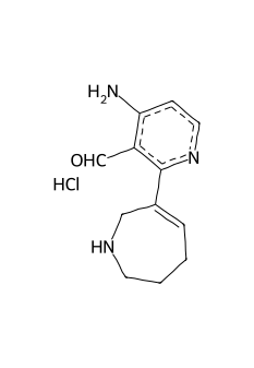 Cl.Nc1ccnc(C2=CCCCNC2)c1C=O